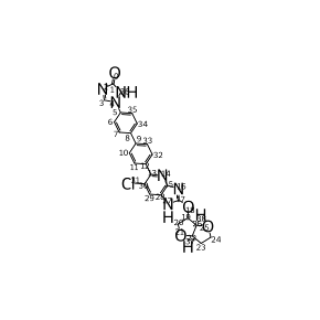 O=c1ncn(-c2ccc(-c3ccc(-c4nc5nc(OC6CO[C@@H]7CCO[C@H]67)[nH]c5cc4Cl)cc3)cc2)[nH]1